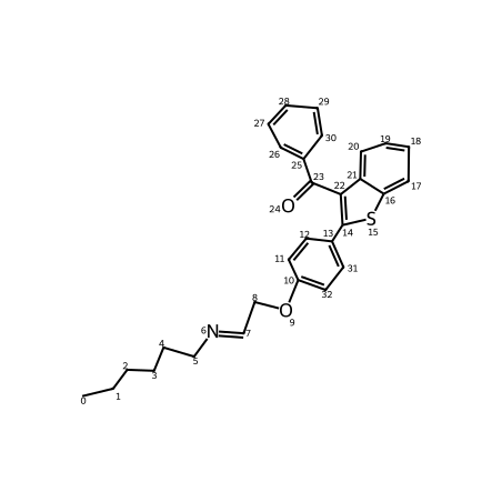 CCCCCCN=CCOc1ccc(-c2sc3ccccc3c2C(=O)c2ccccc2)cc1